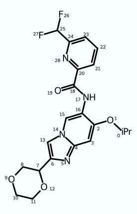 CC(C)Oc1cc2nc(C3COCCO3)cn2cc1NC(=O)c1cccc(C(F)F)n1